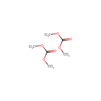 O=C(OC(Cl)(Cl)Cl)OC(Cl)(Cl)Cl.O=C(OC(Cl)(Cl)Cl)OC(Cl)(Cl)Cl